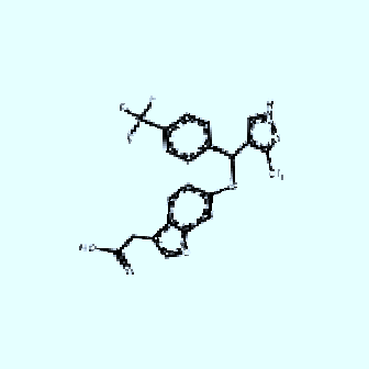 Cc1n[nH]cc1C(Sc1ccc2c(CC(=O)O)coc2c1)c1ccc(C(F)(F)F)cc1